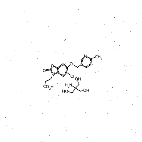 Cc1ccc(COc2cc3oc(=O)n(CCC(=O)O)c3cc2Cl)cn1.NC(CO)(CO)CO